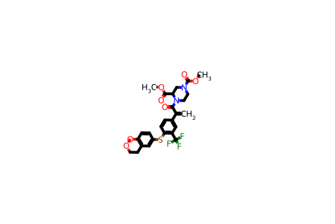 C=C(C(=O)N1CCN(C(=O)OC)CC1C(=O)OC)c1ccc(Sc2ccc3c(c2)CCOO3)c(C(F)(F)F)c1